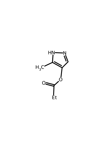 CCC(=O)Oc1cn[nH]c1C